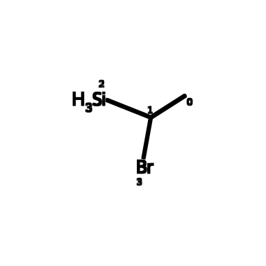 CC([SiH3])Br